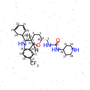 O=C(NC[C@H]1CC[C@@H]2[C@H](O1)c1cc(C(F)(F)F)ccc1N[C@H]2C1C=CC=CC1)NC1CCNCC1